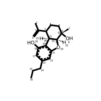 C=C(C)C1CC[C@](C)(O)[C@H]2Oc3cc(CCC)cc(O)c3[C@@H]12